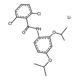 CC(C)Oc1ccc(PC(=O)c2c(Cl)cccc2Cl)c(OC(C)C)c1.[Li]